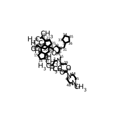 CC(C)CN(C[C@@H]1O[C@@H](C23C[C@@H]4[C@H](C)CC[C@H]4C4(C=O)CC2C=C(C(C)C)[C@]43C)C[C@H]1CC1CCCC1)[C@@H](C)COC(=O)N1CCN(C)CC1